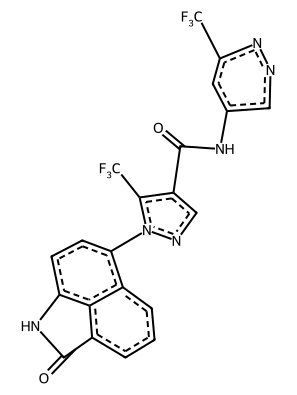 O=C(Nc1cnnc(C(F)(F)F)c1)c1cnn(-c2ccc3c4c(cccc24)C(=O)N3)c1C(F)(F)F